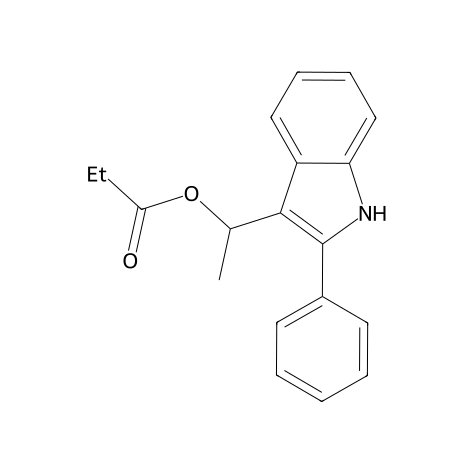 CCC(=O)OC(C)c1c(-c2ccccc2)[nH]c2ccccc12